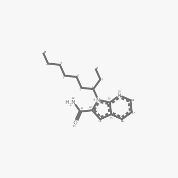 CCCCCCC(CC)n1c(C(N)=O)cc2cccnc21